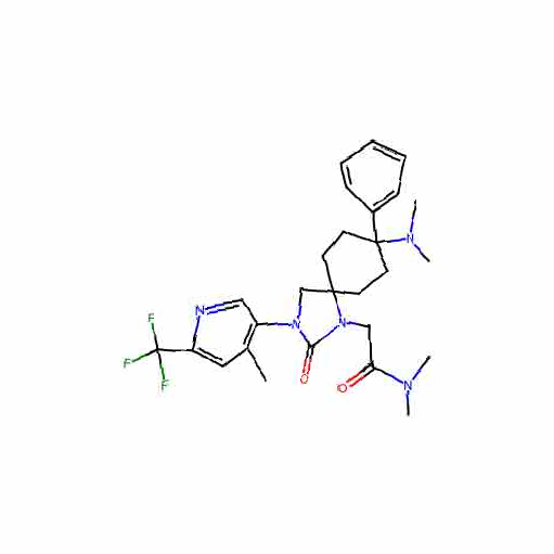 Cc1cc(C(F)(F)F)ncc1N1CC2(CCC(c3ccccc3)(N(C)C)CC2)N(CC(=O)N(C)C)C1=O